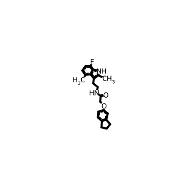 Cc1[nH]c2c(F)ccc(C)c2c1CCNC(=O)COc1ccc2c(c1)CCC2